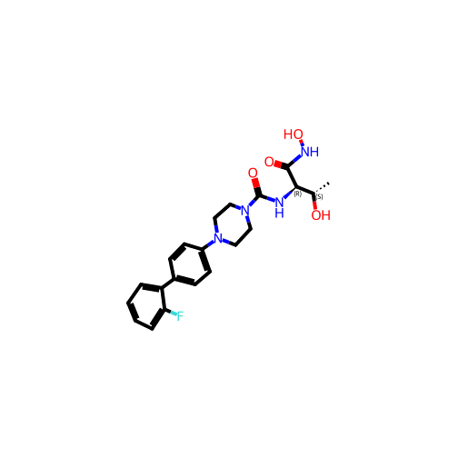 C[C@H](O)[C@@H](NC(=O)N1CCN(c2ccc(-c3ccccc3F)cc2)CC1)C(=O)NO